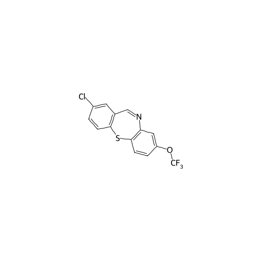 FC(F)(F)Oc1ccc2c(c1)N=Cc1cc(Cl)ccc1S2